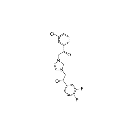 O=C(CN1[CH]N(CC(=O)c2ccc(F)c(F)c2)C=C1)c1cccc(Cl)c1